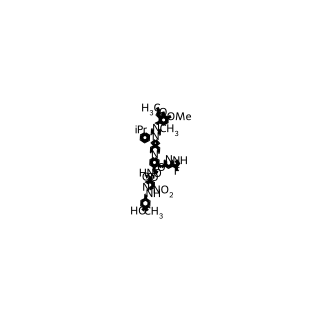 COc1ccc(CN2C[C@@H](c3ccccc3C(C)C)N(C3CC4(CCN(c5ccc(C(=O)NS(=O)(=O)c6cnc(NCC7CCC(C)(O)CC7)c([N+](=O)[O-])c6)c(Oc6cnc7[nH]cc(F)c7c6)c5)CC4)C3)C[C@@H]2C)c2cc(C)oc12